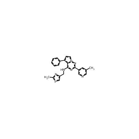 Cc1cncc(-c2nc(NCc3csc(C)n3)c3c(-c4ccccc4)ccn3n2)c1